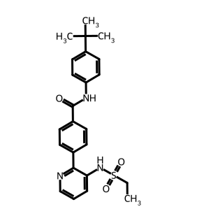 CCS(=O)(=O)Nc1cccnc1-c1ccc(C(=O)Nc2ccc(C(C)(C)C)cc2)cc1